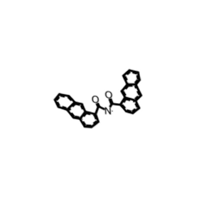 O=C([N]C(=O)c1cccc2cc3ccccc3cc12)c1cccc2cc3ccccc3cc12